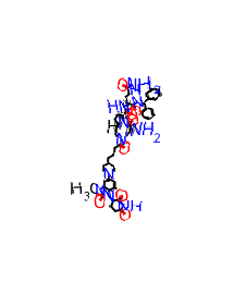 Cn1c(=O)n(C2CCC(=O)NC2=O)c2ccc(N3CCC(CCCC(=O)N4CC[C@H]5CC[C@@H](C(=O)N[C@@H](CCC(N)=O)C(=O)NC(c6ccccc6)c6ccccc6)N5C(=O)[C@@H](N)C4)CC3)cc21